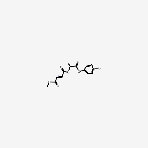 COC(=O)/C=C/C(=O)OC(C)C(=O)Oc1ccc(Br)cc1